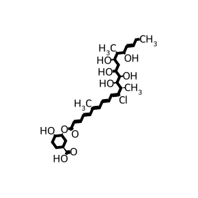 CC/C=C/[C@@H](O)[C@@H](C)[C@H](O)CC(O)[C@@H](O)[C@H](O)[C@H](C)/C(Cl)=C/C=C/C=C(C)/C=C/C=C/C(=O)O[C@@H]1C[C@@H](C(=O)O)CC[C@@H]1O